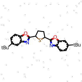 CC(C)(C)c1ccc2oc(C3CCC(c4nc5ccc(C(C)(C)C)cc5o4)S3)nc2c1